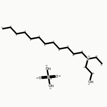 CCCCCCCCCCCCN(CC)CCO.O=S(=O)(O)O